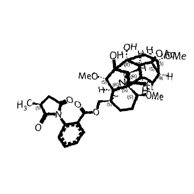 CCN1C[C@]2(COC(=O)c3ccccc3N3C(=O)C[C@H](C)C3=O)CC[C@H](OC)[C@]34[C@@H]5C[C@H]6[C@H](OC(C)=O)[C@@H]5[C@](O)(C[C@@H]6OC)C(O)([C@@H]13)[C@@H](OC)[C@H]24